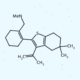 C=C(C)c1c(C2=C(CNC)CCCC2)sc2c1CC(C)(C)CC2